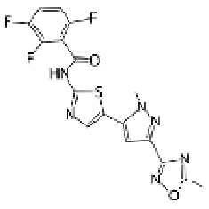 Cc1nc(-c2cc(-c3cnc(NC(=O)c4c(F)ccc(F)c4F)s3)n(C)n2)no1